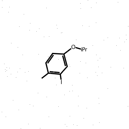 Cc1ccc(OC(C)C)cc1I